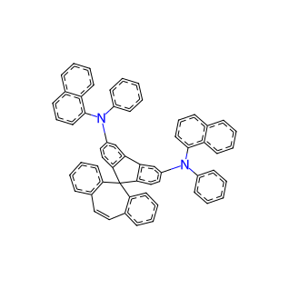 C1=Cc2ccccc2C2(c3ccccc31)c1ccc(N(c3ccccc3)c3cccc4ccccc34)cc1-c1cc(N(c3ccccc3)c3cccc4ccccc34)ccc12